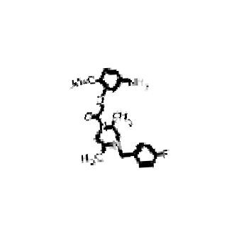 COc1ccc(N)cc1OCC(=O)N1CC(C)N(Cc2ccc(F)cc2)CC1C